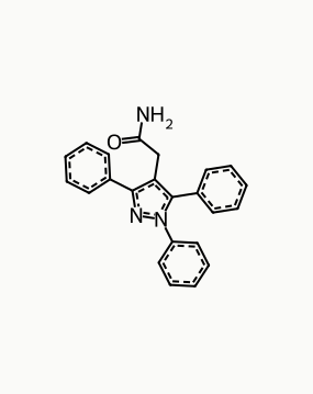 NC(=O)Cc1c(-c2ccccc2)nn(-c2ccccc2)c1-c1ccccc1